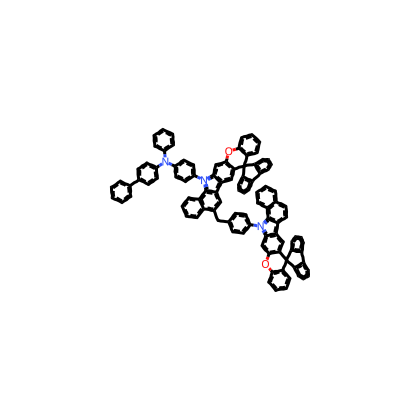 c1ccc(-c2ccc(N(c3ccccc3)c3ccc(-n4c5cc6c(cc5c5cc(Cc7ccc(-n8c9cc%10c(cc9c9ccc%11ccccc%11c98)C8(c9ccccc9O%10)c9ccccc9-c9ccccc98)cc7)c7ccccc7c54)C4(c5ccccc5O6)c5ccccc5-c5ccccc54)cc3)cc2)cc1